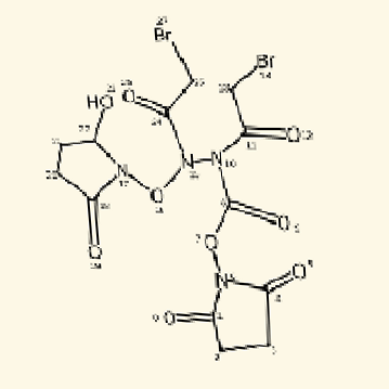 O=C1CCC(=O)N1OC(=O)N(C(=O)CBr)N(ON1C(=O)CCC1O)C(=O)CBr